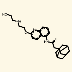 O=C(CC12CC3CC(CC(C3)C1)C2)Nc1cccc2nc(OCCNCCO)ccc12